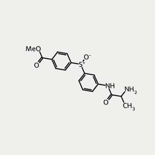 COC(=O)c1ccc([S+]([O-])c2cccc(NC(=O)C(C)N)c2)cc1